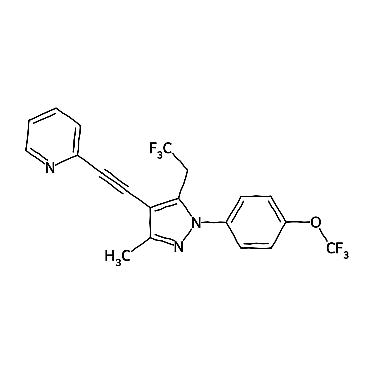 Cc1nn(-c2ccc(OC(F)(F)F)cc2)c(CC(F)(F)F)c1C#Cc1ccccn1